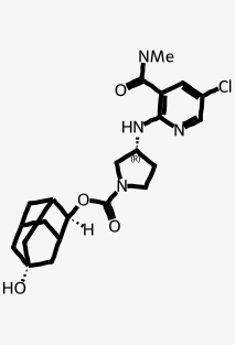 CNC(=O)c1cc(Cl)cnc1N[C@@H]1CCN(C(=O)O[C@H]2C3CC4CC2C[C@](O)(C4)C3)C1